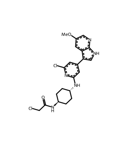 COc1cnc2[nH]cc(-c3cc(Cl)nc(N[C@H]4CC[C@H](NC(=O)CCl)CC4)c3)c2c1